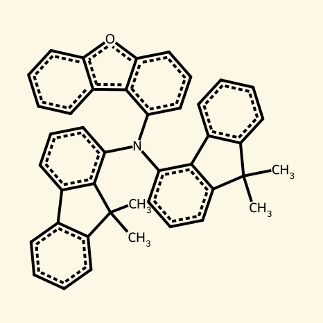 CC1(C)c2ccccc2-c2c(N(c3cccc4c3C(C)(C)c3ccccc3-4)c3cccc4oc5ccccc5c34)cccc21